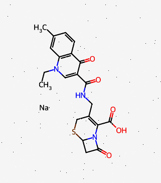 CCn1cc(C(=O)NCC2=C(C(=O)O)N3C(=O)CC3SC2)c(=O)c2ccc(C)cc21.[Na]